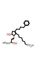 CCCCC[C@H](O)/C=C/[C@@H]1C(CCCCCCC(=O)O)=C(CCCCc2ccccc2)C[C@H]1O